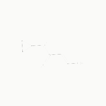 CC=CC(=O)OC1CC1